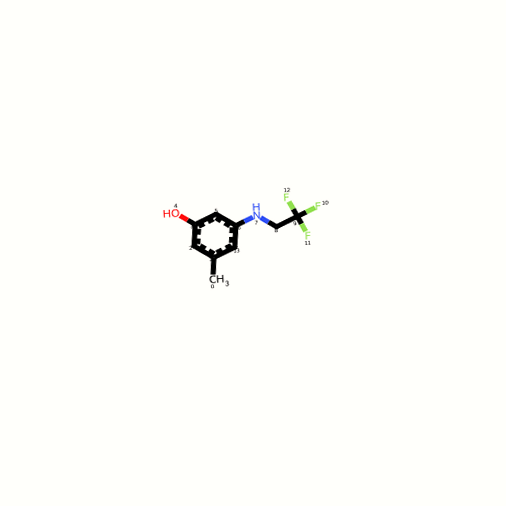 Cc1cc(O)cc(NCC(F)(F)F)c1